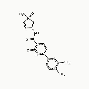 Cc1ccc(-c2ccc(C(=O)NC3C=CP(C)(=O)C3)c(=O)[nH]2)cc1C